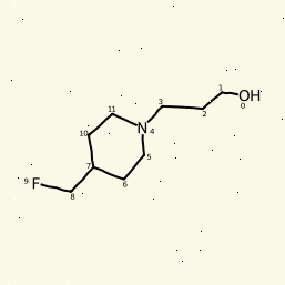 OCCCN1CCC(CF)CC1